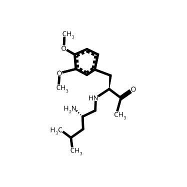 COc1ccc(C[C@H](NC[C@@H](N)CC(C)C)C(C)=O)cc1OC